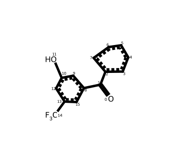 O=C(c1ccccc1)c1cc(O)cc(C(F)(F)F)c1